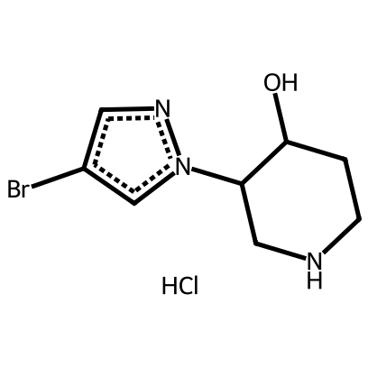 Cl.OC1CCNCC1n1cc(Br)cn1